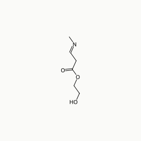 C/N=C/CC(=O)OCCO